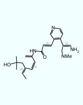 C=C(/C=C\C(=C/C)CC(C)(C)O)NC(=O)/C=C/c1cnccc1/C(=C/N)CNC